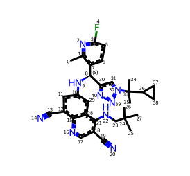 Cc1nc(F)ccc1[C@H](Nc1cc(C#N)c2ncc(C#N)c(NCC(C)(C)C)c2c1)c1cn(C(C)(C)C2CC2)nn1